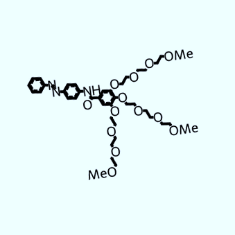 COCCOCCOCCOc1cc(C(=O)Nc2ccc(N=Nc3ccccc3)cc2)cc(OCCOCCOCCOC)c1OCCOCCOCCOC